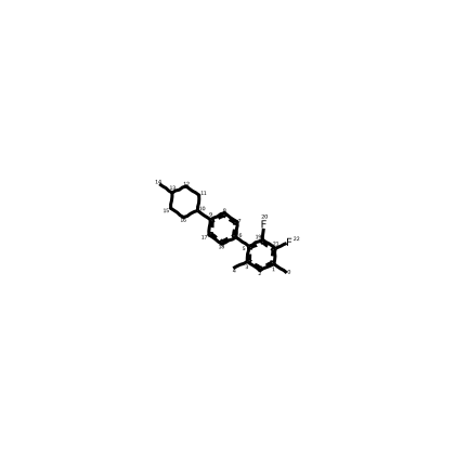 Cc1cc(C)c(-c2ccc(C3CCC(C)CC3)cc2)c(F)c1F